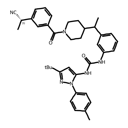 Cc1ccc(-n2nc(C(C)(C)C)cc2NC(=O)Nc2cccc(C(C)C3CCN(C(=O)c4cccc([C@H](C)C#N)c4)CC3)c2)cc1